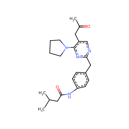 CC(=O)Cc1cnc(Cc2ccc(NC(=O)CC(C)C)cc2)nc1N1CCCC1